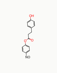 O=Nc1ccc(OC(=O)CCc2ccc(O)cc2)cc1